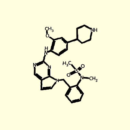 COc1cc(C2CCNCC2)ccc1Nc1ncc2ccn(Cc3ccccc3N(C)S(C)(=O)=O)c2n1